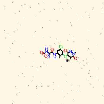 Cc1c(NC(=O)c2noc(=O)[nH]2)cc(Cl)c(Oc2cc(C(C)C)c(=O)n(C)n2)c1Cl